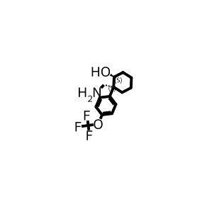 NC[C@@]1(c2ccc(OC(F)(F)F)cc2)CCCC[C@@H]1O